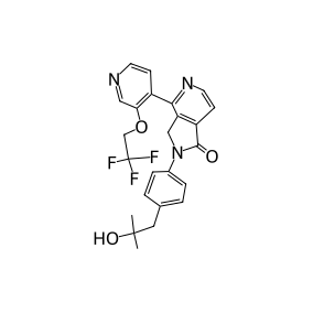 CC(C)(O)Cc1ccc(N2Cc3c(ccnc3-c3ccncc3OCC(F)(F)F)C2=O)cc1